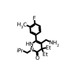 CCC1(CC)C(=O)N(CC(C)C)NC(c2ccc(F)c(C)c2)=C1CN